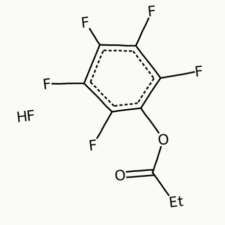 CCC(=O)Oc1c(F)c(F)c(F)c(F)c1F.F